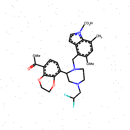 COC(=O)c1ccc(C2CN(CC(F)F)CCN2Cc2c(OC)cc(C)c3c2ccn3C(=O)O)c2c1OCCO2